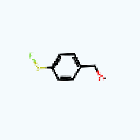 [O]Cc1ccc(SF)cc1